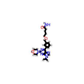 CNC(=O)CCCCOCc1cccc(-c2nc(N3CCOCC3)nc3c2ncn3C(C)C)c1